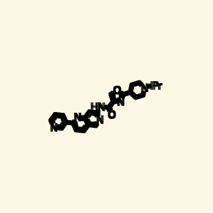 CC(C)N1CCC(c2nc(C(=O)Nc3cc4nc(-c5cccnc5)ccc4cn3)co2)CC1